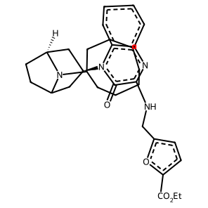 CCOC(=O)c1ccc(CNc2nc3ccccc3n([C@H]3CC4CC[C@@H](C3)N4C3CCCCCCC3)c2=O)o1